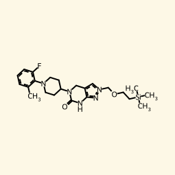 Cc1cccc(F)c1N1CCC(N2Cc3cn(COCC[Si](C)(C)C)nc3NC2=O)CC1